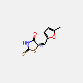 Cc1ccc(/C=C2/SC(=S)NC2=O)o1